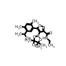 CCNC(=O)c1noc(-c2cc(C(C)C)c(C)cc2C)c1B1OC(C)(C)C(C)(C)O1